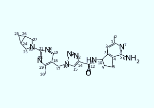 Cc1cc2c(c(N)n1)CCC2NC(=O)c1cn(Cc2cnc(N3CC4CC4C3)nc2C)nn1